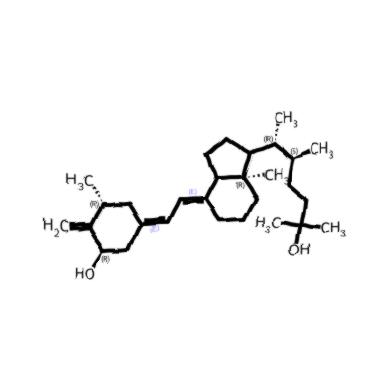 C=C1[C@H](C)C/C(=C\C=C2/CCC[C@@]3(C)C2CCC3[C@H](C)[C@@H](C)CCC(C)(C)O)C[C@H]1O